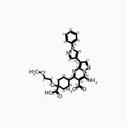 COCCOC1(C(=O)O)CCC(c2nc3c(-c4cnn(-c5ccccc5)c4)cnn3c(N)c2C(C)=O)CC1